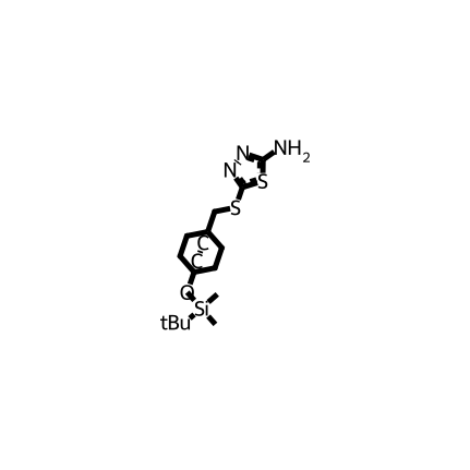 CC(C)(C)[Si](C)(C)OC12CCC(CSc3nnc(N)s3)(CC1)CC2